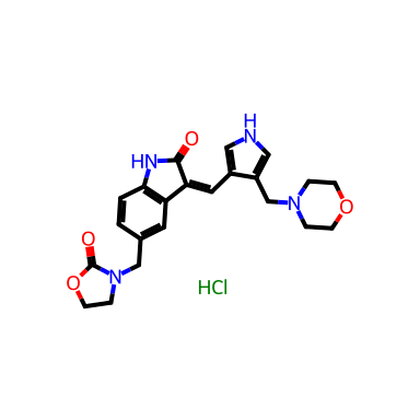 Cl.O=C1Nc2ccc(CN3CCOC3=O)cc2C1=Cc1c[nH]cc1CN1CCOCC1